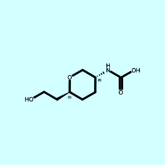 O=C(O)N[C@@H]1CC[C@@H](CCO)OC1